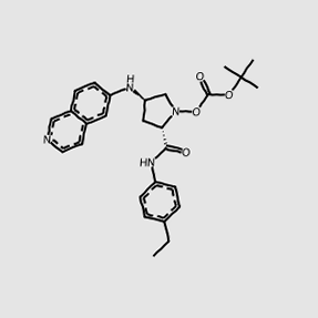 CCc1ccc(NC(=O)[C@@H]2C[C@@H](Nc3ccc4cnccc4c3)CN2OC(=O)OC(C)(C)C)cc1